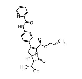 C=CCOC(=O)C1=C(c2ccc(NC(=O)c3ccccn3)cc2)C[C@@H]2[C@@H]([C@@H](C)O)C(=O)N12